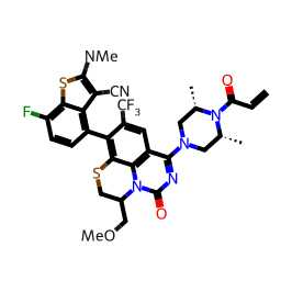 C=CC(=O)N1[C@H](C)CN(c2nc(=O)n3c4c(c(-c5ccc(F)c6sc(NC)c(C#N)c56)c(C(F)(F)F)cc24)SCC3COC)C[C@@H]1C